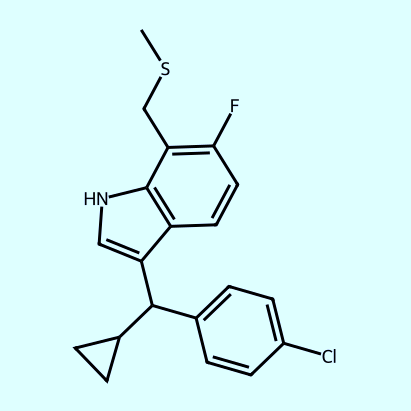 CSCc1c(F)ccc2c(C(c3ccc(Cl)cc3)C3CC3)c[nH]c12